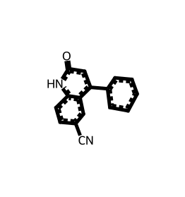 N#Cc1ccc2[nH]c(=O)cc(-c3ccccc3)c2c1